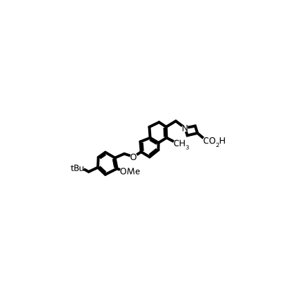 COc1cc(CC(C)(C)C)ccc1COc1ccc2c(c1)CCC(CN1CC(C(=O)O)C1)=C2C